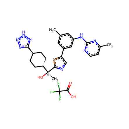 Cc1cc(Nc2nccc(C(F)(F)F)n2)cc(-c2cnc([C@@](C)(O)[C@H]3CC[C@H](c4nn[nH]n4)CC3)s2)c1.O=C(O)C(F)(F)F